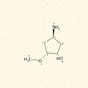 CO[C@H]1CC[C@H](N)C1.Cl